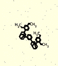 C=Cc1ccc(C23CC4CC(CC(c5cccc(C67CC8CC(C6)CC(c6ccc(C=C)cc6C=C)(C8)C7)c5)(C4)C2)C3)c(C=C)c1